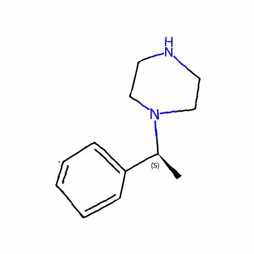 C[C@@H](c1c[c]ccc1)N1CCNCC1